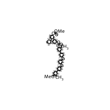 COC(=O)Oc1ccc(C2(c3ccc(OC(=O)Oc4ccc(-c5ccc(Oc6cccc(Oc7ccc(-c8ccc(OC)c(C)c8)cc7)c6)cc5)cc4C)cc3)CCCCC2)cc1